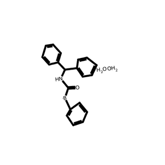 O.O.O=C([B]c1ccccc1)NC(c1ccccc1)c1ccccc1